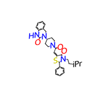 CC(C)CCN1C(=O)C(=CC(=O)N2CCC(N3Cc4ccccc4NC3=O)CC2)SC1c1ccccc1